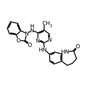 Cc1cnc(Nc2ccc3c(c2)NC(=O)CCC3)nc1Nn1c(=O)oc2ccccc21